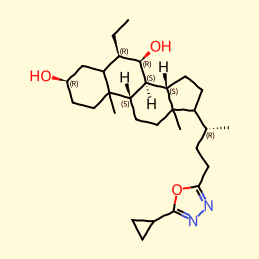 CC[C@@H]1C2C[C@H](O)CCC2(C)[C@H]2CCC3(C)C([C@H](C)CCc4nnc(C5CC5)o4)CC[C@H]3[C@@H]2[C@@H]1O